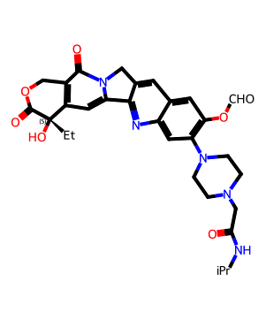 CC[C@@]1(O)C(=O)OCc2c1cc1n(c2=O)Cc2cc3cc(OC=O)c(N4CCN(CC(=O)NC(C)C)CC4)cc3nc2-1